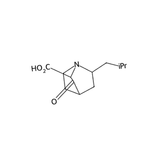 CC(C)CC1CC2CCN1C(C(=O)O)C2=O